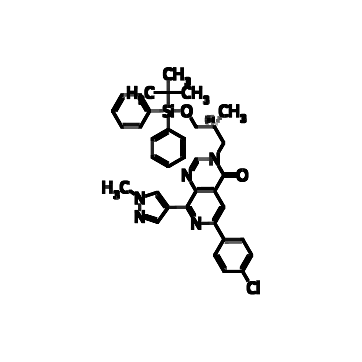 C[C@@H](CO[Si](c1ccccc1)(c1ccccc1)C(C)(C)C)Cn1cnc2c(-c3cnn(C)c3)nc(-c3ccc(Cl)cc3)cc2c1=O